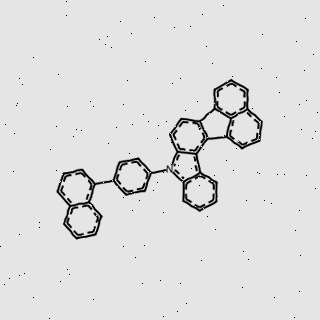 c1ccc2c(-c3ccc(-n4c5ccccc5c5c6c(ccc54)-c4cccc5cccc-6c45)cc3)cccc2c1